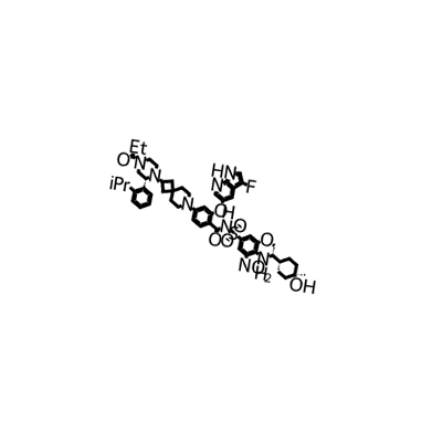 CCC(=O)N1CCN(C2CC3(CCN(c4ccc(C(=O)NS(=O)(=O)c5cc6c(c([N+](=O)[O-])c5)N[C@@H]([C@H]5CC[C@](C)(O)CC5)CO6)c(Oc5cnc6[nH]cc(F)c6c5)c4)CC3)C2)[C@H](c2ccccc2C(C)C)C1